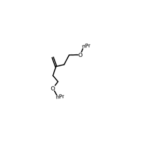 C=C(CCOCCC)CCOCCC